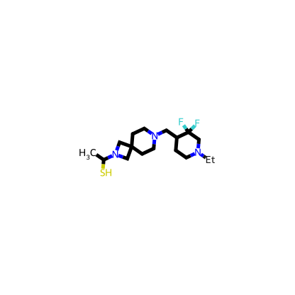 CCN1CCC(CN2CCC3(CC2)CN(C(C)S)C3)C(F)(F)C1